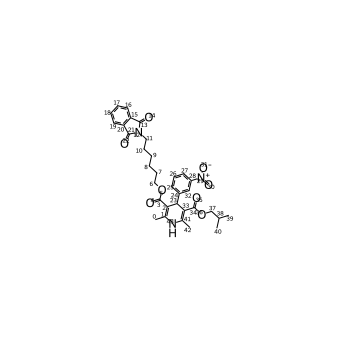 CC1=C(C(=O)OCCCCCCN2C(=O)c3ccccc3C2=O)C(c2cccc([N+](=O)[O-])c2)C(C(=O)OCC(C)C)=C(C)N1